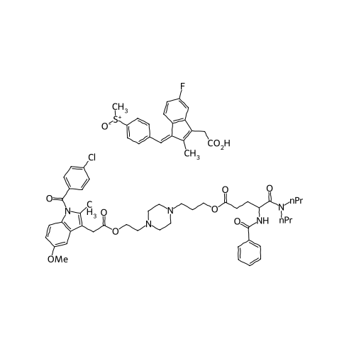 CC1=C(CC(=O)O)c2cc(F)ccc2/C1=C\c1ccc([S+](C)[O-])cc1.CCCN(CCC)C(=O)C(CCC(=O)OCCCN1CCN(CCOC(=O)Cc2c(C)n(C(=O)c3ccc(Cl)cc3)c3ccc(OC)cc23)CC1)NC(=O)c1ccccc1